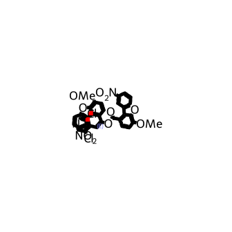 COc1ccc(C(=O)O/C(=C/c2c(Cl)cncc2Cl)c2ccc(OC)c3oc4ccc([N+](=O)[O-])cc4c23)c2c1oc1ccc([N+](=O)[O-])cc12